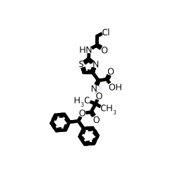 CC(C)(O/N=C(\C(=O)O)c1csc(NC(=O)CCl)n1)C(=O)OC(c1ccccc1)c1ccccc1